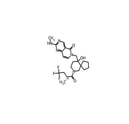 CNc1ncc2c(=O)n(CC3(O)CCN(C(=O)[C@H](C)CC(F)(F)F)CC34CCCC4)ccc2n1